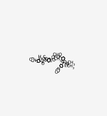 CCC(Cc1ccc(C(=O)OCC(C)(C)OC(=O)c2ccc(CC(CC)(C(=O)c3ccc(N4CCOCC4)cc3)N(C)C)cc2)cc1)(C(=O)c1ccc(N2CCOCC2)cc1)N(C)C